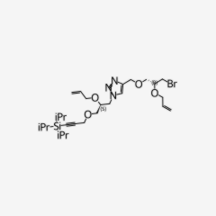 C=CCO[C@H](COCC#C[Si](C(C)C)(C(C)C)C(C)C)Cn1cc(COC[C@H](CBr)OCC=C)nn1